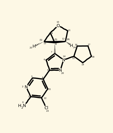 Nc1ncc(-c2cc([C@]34C5OC[C@@H]3[C@H]54)n(C3CCCC3)n2)cc1Cl